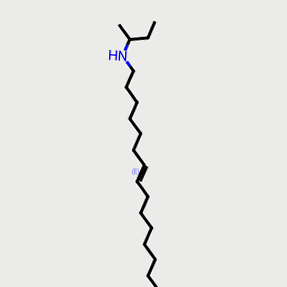 CCCCCCC/C=C/CCCCCCNC(C)CC